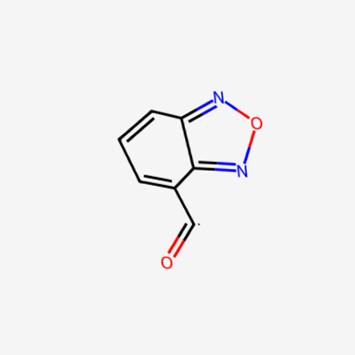 O=[C]c1cccc2nonc12